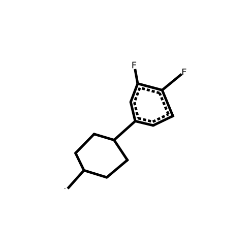 [CH2]C1CCC(c2ccc(F)c(F)c2)CC1